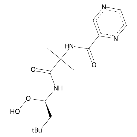 CC(C)(C)C[C@H](NC(=O)C(C)(C)NC(=O)c1cnccn1)OO